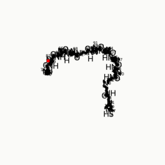 CN(CCCNC(=O)CCN(C)c1ccnc(CS)c1)CCCNC(=O)c1cc(NC(=O)c2cc(NC(=O)c3cc(NC(=O)c4nc(NC(=O)CCCNC(=O)c5cc(NC(=O)c6cc(NC(=O)c7cc(NC(=O)c8nccn8C)cn7C)cn6C)cn5C)cn4C)cn3C)cn2C)cn1C